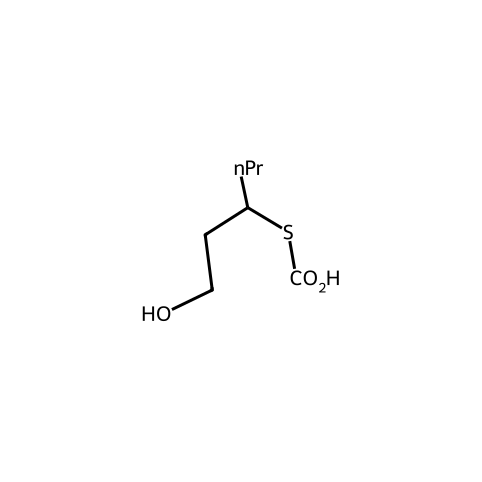 CCCC(CCO)SC(=O)O